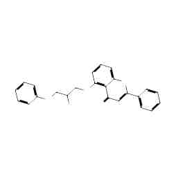 O=c1cc(-c2ccccc2)oc2cccc(OCC(O)COc3ccccc3)c12